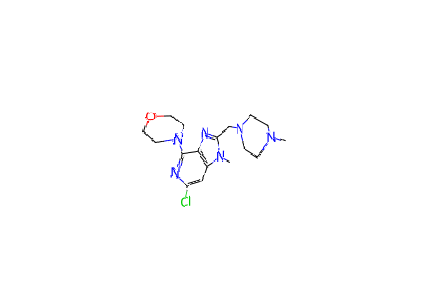 CN1CCN(Cc2nc3c(N4CCOCC4)nc(Cl)cc3n2C)CC1